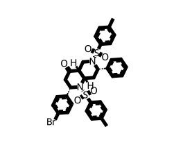 Cc1ccc(S(=O)(=O)N2C[C@H]3C(=O)C[C@@H](c4ccc(Br)cc4)N(S(=O)(=O)c4ccc(C)cc4)[C@H]3C[C@H]2c2ccccc2)cc1